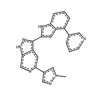 Cn1cc(-c2cc3c(-c4cc5c(-c6cccnc6)cccc5[nH]4)n[nH]c3cn2)cn1